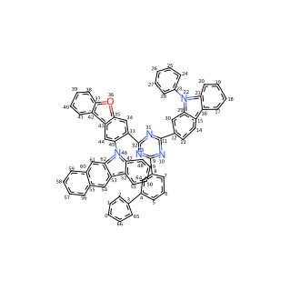 c1ccc(-c2cccc(-c3nc(-c4ccc5c6ccccc6n(-c6ccccc6)c5c4)nc(-c4cc5oc6ccccc6c5cc4-n4c5ccccc5c5cc6ccccc6cc54)n3)c2)cc1